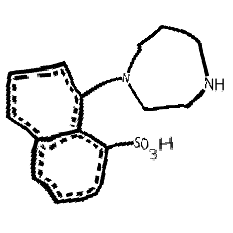 O=S(=O)(O)c1cccc2cccc(N3CCCNCC3)c12